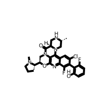 C[C@@H]1CN2c3c4c(nc5c(F)c(-c6c(O)cccc6F)c(Cl)cc35)O[C@@H]([C@@H]3CCCN3C)CN4C(=O)[C@H]2CN1